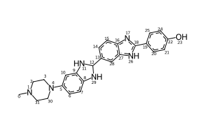 CN1CCN(c2ccc3c(c2)NC(c2ccc4nc(-c5ccc(O)cc5)[nH]c4c2)N3)CC1